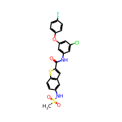 CS(=O)(=O)Nc1ccc2sc(C(=O)Nc3cc(Cl)cc(Oc4ccc(F)cc4)c3)cc2c1